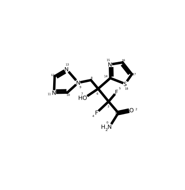 NC(=O)C(F)(F)C(O)(Cn1cncn1)c1nccs1